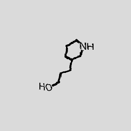 OCCCC1CCCNC1